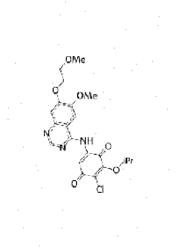 COCCOc1cc2ncnc(NC3=CC(=O)C(Cl)=C(OC(C)C)C3=O)c2cc1OC